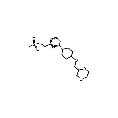 CS(=O)(=O)OCc1ccnc(C2CCC(OCC3COCCO3)CC2)n1